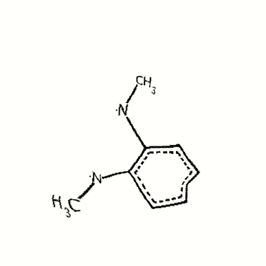 C[N]c1ccccc1[N]C